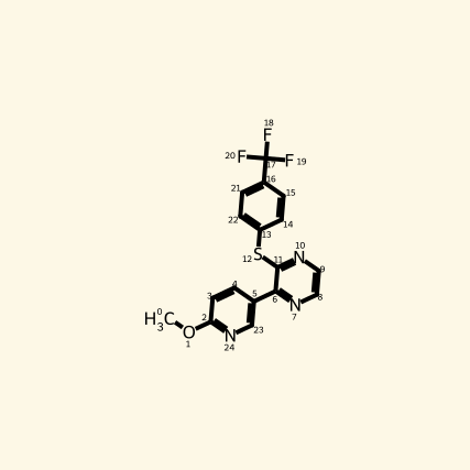 COc1ccc(-c2nccnc2Sc2ccc(C(F)(F)F)cc2)cn1